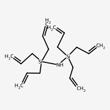 C=CC[Si](CC=C)(CC=C)N[Si](CC=C)(CC=C)CC=C